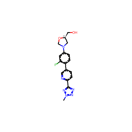 Cn1nnc(-c2ccc(-c3ccc(N4CO[C@@H](CO)C4)cc3F)cn2)n1